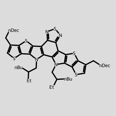 CCCCCCCCCCCc1csc2c1sc1c3c4nsnc4c4c5sc6c(CCCCCCCCCCC)csc6c5n(CC(CC)CCCC)c4c3n(CC(CC)CCCC)c21